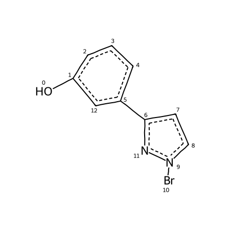 Oc1cccc(-c2ccn(Br)n2)c1